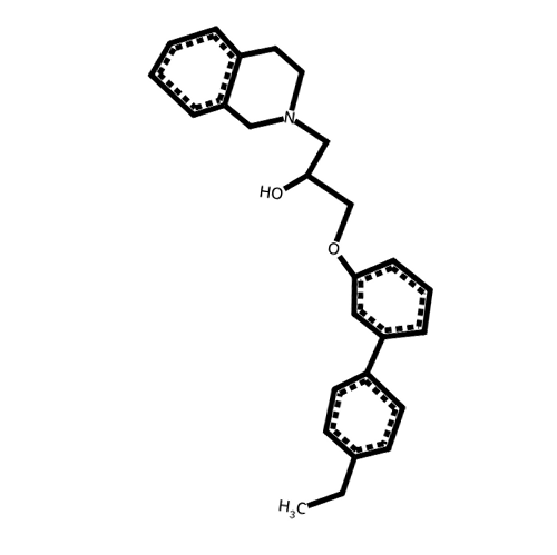 CCc1ccc(-c2cccc(OCC(O)CN3CCc4ccccc4C3)c2)cc1